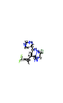 FC(F)[C@H]1C[C@@H]1c1cc(-c2cncnc2)nn2c(Cl)cnc12